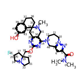 CN(C)C(=O)c1cc2n(n1)CCCN(c1nc(OC[C@@]34CCCN3C[C@H](F)C4)nc3c1CN(C)C1(CCCc4ccc(O)cc41)C3)C2